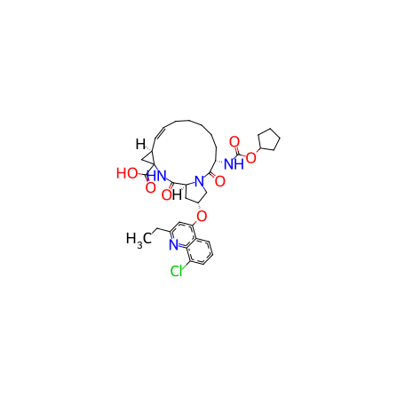 CCc1cc(O[C@@H]2C[C@H]3C(=O)NC4(C(=O)O)C[C@H]4/C=C\CCCCC[C@H](NC(=O)OC4CCCC4)C(=O)N3C2)c2cccc(Cl)c2n1